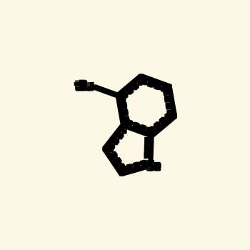 CC(C)(C)c1cccc2[se]ccc12